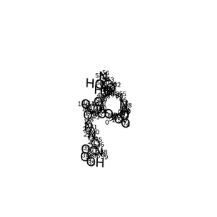 CC[C@H]1OC(=O)[C@H](C)[C@@H](OC2C[C@@](C)(OC)[C@@H](OCCN3CCN(c4ccc5c(c4)c(=O)c(C(=O)O)cn5CC)CC3)[C@H](C)O2)[C@H](C)[C@@H](O[C@@H]2O[C@H](C)C[C@H](N(C)C)[C@H]2O)[C@](C)(O)C[C@@H](C)CN(C)[C@H](C)[C@@H]2OC(=O)O[C@]12C